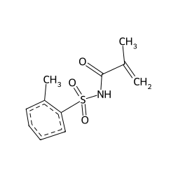 C=C(C)C(=O)NS(=O)(=O)c1ccccc1C